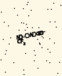 [O-][S+]1CC2(CCN([C@H]3CC[C@@H](c4ccnc(C(F)(F)F)c4)CC3)CC2)C1